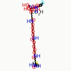 O=C(CCCCCCO[C@]1(C(=O)O)C[C@H](O)[C@@H](NC(=O)CO)[C@H]([C@H](O)[C@H](O)CNC(=O)Cc2ccc(C(F)F)cc2)O1)NCCOCCOCCOCCOCCNC(=O)CCOCCOCCOCCOCCNC(=O)CCCC[C@H]1SC[C@H]2NC(=O)N[C@H]21